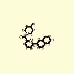 CC1CCN(C(=O)c2cccc(-c3ccc4ccccc4c3)n2)CC1